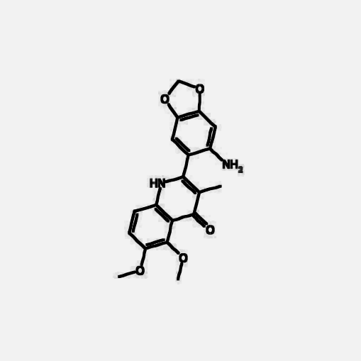 COc1ccc2[nH]c(-c3cc4c(cc3N)OCO4)c(C)c(=O)c2c1OC